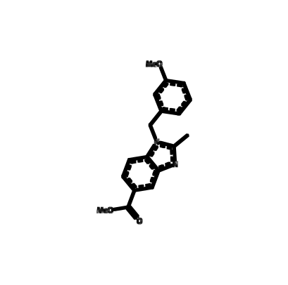 COC(=O)c1ccc2c(c1)nc(C)n2Cc1cccc(OC)c1